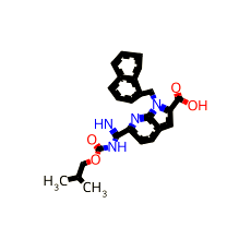 CC(C)COC(=O)NC(=N)c1ccc2cc(C(=O)O)n(Cc3cccc4ccccc34)c2n1